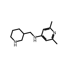 Cc1cc(NCC2CCCNC2)cc(C)n1